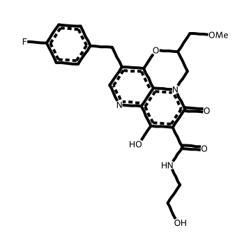 COCC1Cn2c(=O)c(C(=O)NCCO)c(O)c3ncc(Cc4ccc(F)cc4)c(c32)O1